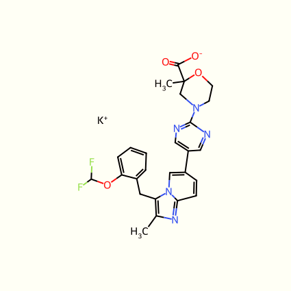 Cc1nc2ccc(-c3cnc(N4CCOC(C)(C(=O)[O-])C4)nc3)cn2c1Cc1ccccc1OC(F)F.[K+]